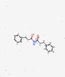 O=C(CCc1ccccc1)NC(=O)CCc1ccccc1